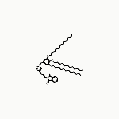 CCCCCCCCCCCCOc1cc(Cn2cc(CCCN3C(=O)c4ccccc4C3=O)nn2)cc(OCCCCCCCCCCCC)c1OCCCCCCCCCCCC